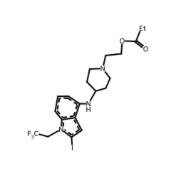 CCC(=O)OCCN1CCC(Nc2cccc3c2cc(I)n3CC(F)(F)F)CC1